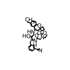 CCc1ccc2c(c1)[C@@H](NC[C@H](O)[C@H](Cc1cccc(C#N)c1)NC(=O)CN1CCOC1=O)CC1(CCC1)O2